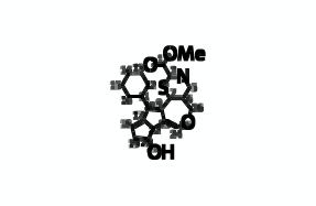 COC(=O)C1=NCC2=C(S1)C1=C(C3CCCCC3)C3=CC=C(O)C3C1=COC2